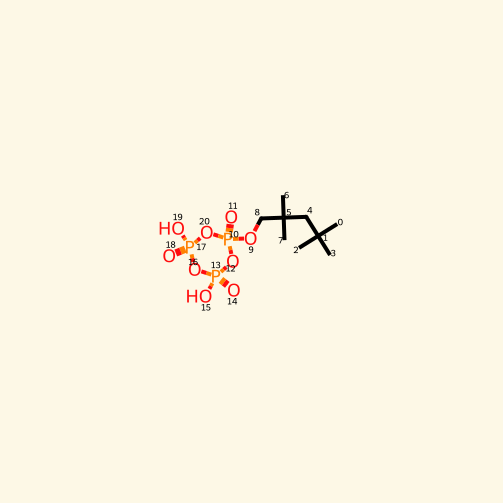 CC(C)(C)CC(C)(C)COP1(=O)OP(=O)(O)OP(=O)(O)O1